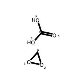 C1OO1.O=C(O)O